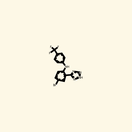 FC(F)(F)c1ccc(Nc2ccc(Br)cc2-c2nn[nH]n2)cc1